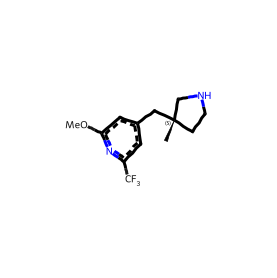 COc1cc(C[C@@]2(C)CCNC2)cc(C(F)(F)F)n1